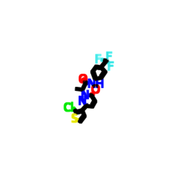 CC(C(=O)Nc1ccc(C(F)(F)F)cc1)n1nc(-c2ccsc2Cl)ccc1=O